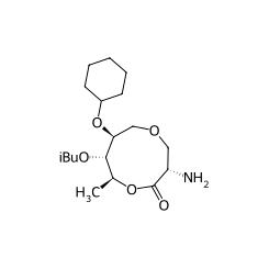 CC(C)CO[C@H]1[C@H](C)OC(=O)[C@@H](N)COC[C@@H]1OC1CCCCC1